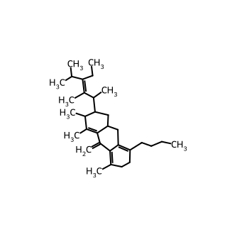 C=C1C2=C(C)CCC(CCCC)=C2CC2CC(C(C)/C(C)=C(\CC)C(C)C)C(C)C(C)=C12